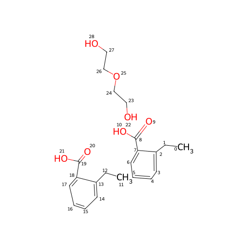 CCc1ccccc1C(=O)O.CCc1ccccc1C(=O)O.OCCOCCO